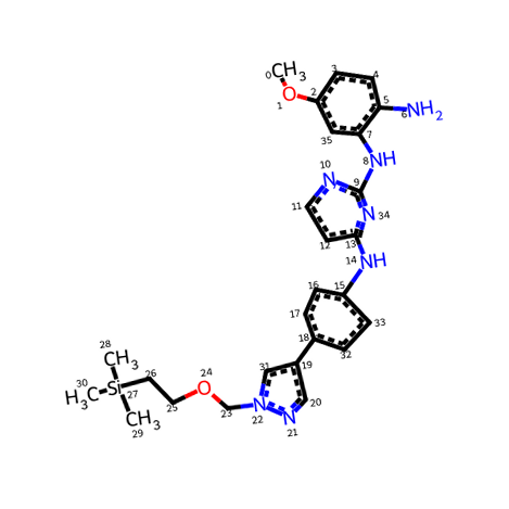 COc1ccc(N)c(Nc2nccc(Nc3ccc(-c4cnn(COCC[Si](C)(C)C)c4)cc3)n2)c1